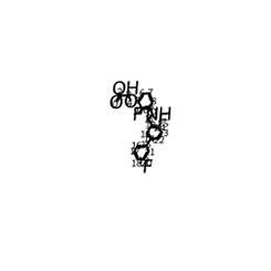 O=C(O)COc1cccc(NCc2cc(-c3cccc(F)c3)ccc2F)c1F